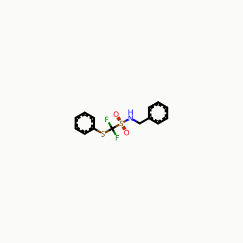 O=S(=O)(NCc1ccccc1)C(F)(F)Sc1ccccc1